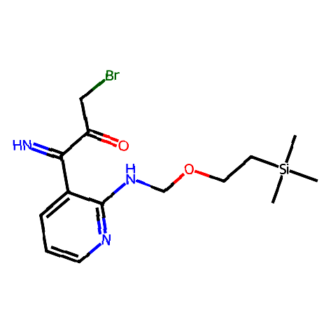 C[Si](C)(C)CCOCNc1ncccc1C(=N)C(=O)CBr